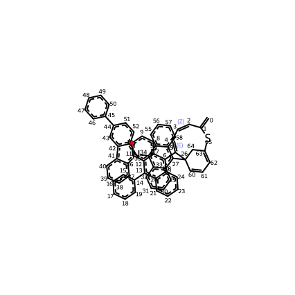 C=C1/C=C\C=C(\c2c3ccccc3c(-c3ccccc3)c3ccccc23)C2(c3c4ccccc4c(-n4c5ccccc5c5cc(-c6ccccc6)ccc54)c4ccccc34)C=CC=C(C2)S1